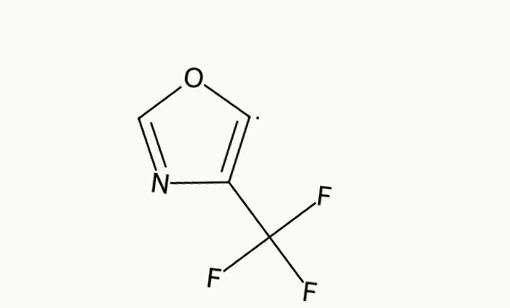 FC(F)(F)c1[c]ocn1